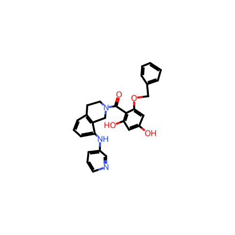 O=C(c1c(O)cc(O)cc1OCc1ccccc1)N1CCc2cccc(Nc3cccnc3)c2C1